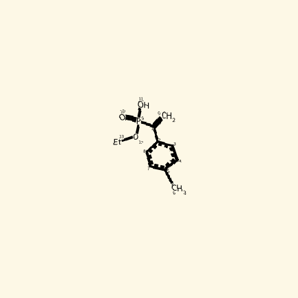 C=C(c1ccc(C)cc1)P(=O)(O)OCC